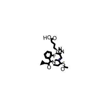 CC(=O)SC1CCN(C(C(=O)C2CC2)c2ccccc2F)C/C1=C\c1cn(CCCC(=O)O)nn1